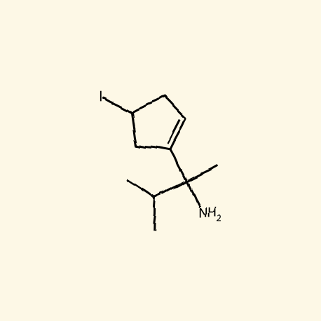 CC(C)C(C)(N)C1=CCC(I)C1